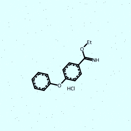 CCOC(=N)c1ccc(Oc2ccccc2)cc1.Cl